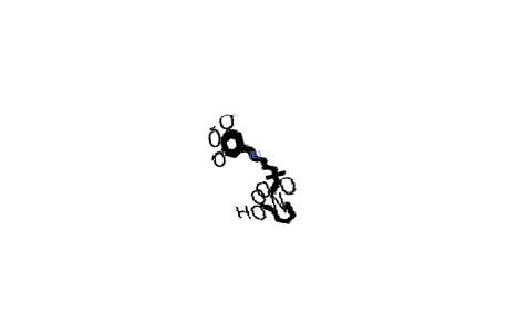 COc1cc(/C=C/CCCC(C)(C)C(=O)C(=O)N2CCCCC2C(=O)O)cc(OC)c1OC